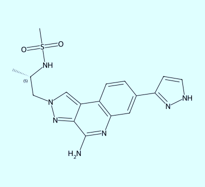 C[C@@H](Cn1cc2c(n1)c(N)nc1cc(-c3cc[nH]n3)ccc12)NS(C)(=O)=O